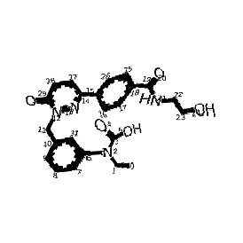 CCN(C(=O)O)c1cccc(Cn2nc(-c3ccc(C(=O)NCCO)cc3)ccc2=O)c1